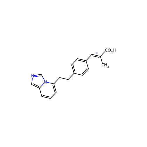 C/C(=C\c1ccc(CCc2cccc3cncn23)cc1)C(=O)O